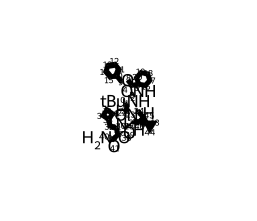 CC(C)(C)[C@H](NC(=O)NC1(COCc2ccccc2)CCCCC1)C(=O)N1C[C@H]2[C@@H]([C@H]1C(=O)NC(CC1CCC1)C(=O)C(N)=O)C21CC1